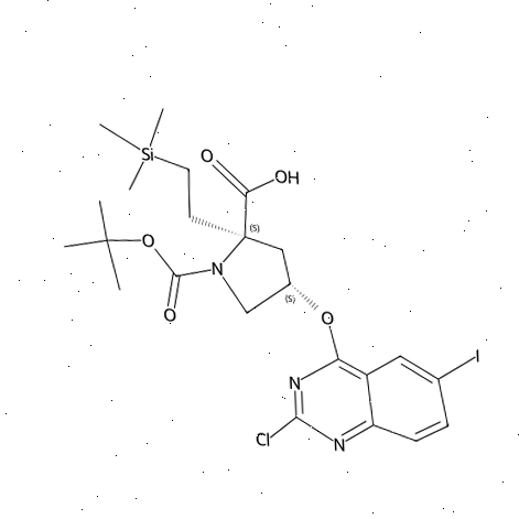 CC(C)(C)OC(=O)N1C[C@@H](Oc2nc(Cl)nc3ccc(I)cc23)C[C@]1(CC[Si](C)(C)C)C(=O)O